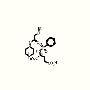 CCOCC(=O)ON1CCNCC1.O=C(O)CC[C@H](NS(=O)(=O)c1ccccc1)C(=O)O